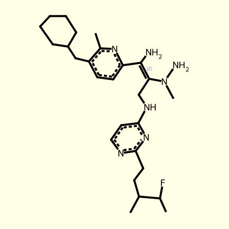 Cc1nc(/C(N)=C(\CNc2ccnc(CCC(C)C(C)F)n2)N(C)N)ccc1CC1CCCCC1